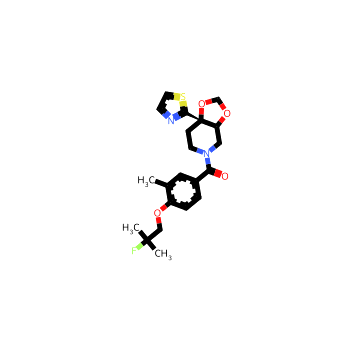 Cc1cc(C(=O)N2CC[C@]3(c4nccs4)OCOC3C2)ccc1OCC(C)(C)F